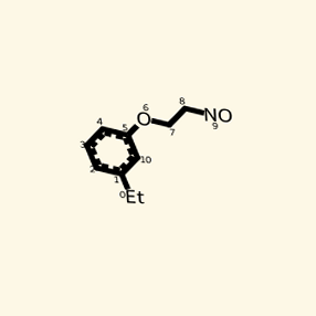 CCc1cccc(OCCN=O)c1